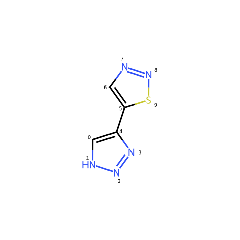 c1[nH]nnc1-c1cnns1